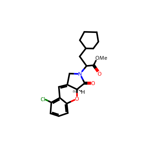 COC(=O)C(CC1CCCCC1)N1CC2=Cc3c(Cl)cccc3O[C@@H]2C1=O